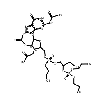 CC(C)C(=O)Nc1nc2c(ncn2C2OC(COP(=O)(OCCC#N)OCC(CO)OP(=O)(OCCC#N)OCCC#N)[C@@H](OC(=O)C(C)C)[C@H]2OC(=O)C(C)C)c(=O)[nH]1